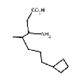 CC(CCCC1CCC1)C(N)CC(=O)O